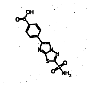 NS(=O)(=O)c1nn2cc(-c3ccc(S(=O)O)cc3)nc2s1